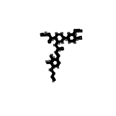 C=CCOc1ccc(/C=C/C(=O)CC2CN(c3ccc(Cl)c(OC)c3)CCN2C(=O)OC(C)(C)C)c(C)c1C